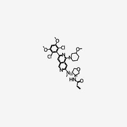 C=CC(=O)N[C@H]1COC[C@H]1N(C)c1cc2c(N3CCCC(OC)C3)nc(-c3c(Cl)c(OC)cc(OC)c3Cl)cc2cn1